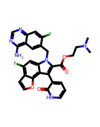 CN(C)CCOC(=O)c1c(-c2ccc[nH]c2=O)c2c3occc3c(F)cc2n1Cc1cc2c(N)ncnc2cc1F